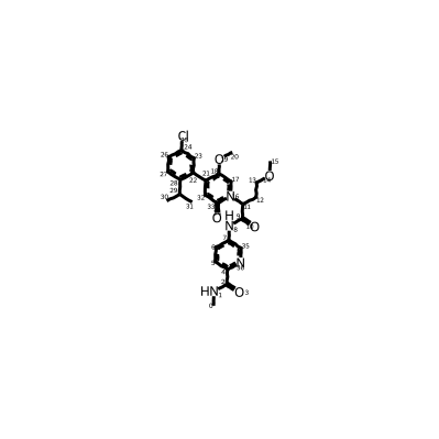 CNC(=O)c1ccc(NC(=O)C(CCOC)n2cc(OC)c(-c3cc(Cl)ccc3C(C)C)cc2=O)cn1